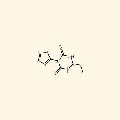 CSC1NC(=O)N(c2cccs2)C(=O)N1